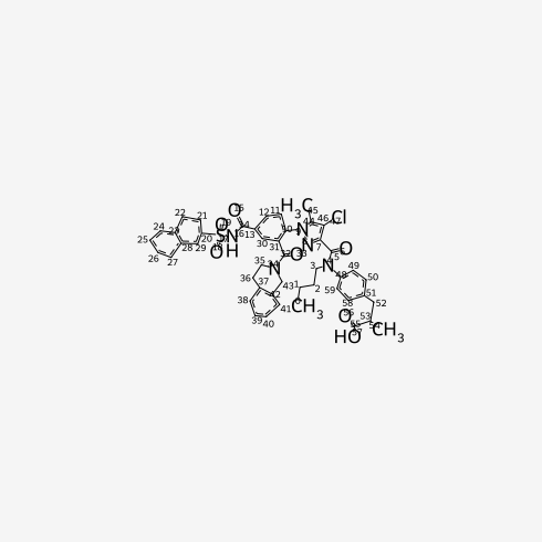 CCCCN(C(=O)c1nn(-c2ccc(C(=O)NS(=O)(=O)c3ccc4ccccc4c3)cc2C(=O)N2CCc3ccccc3C2)c(C)c1Cl)c1ccc(CC(C)C(=O)O)cc1